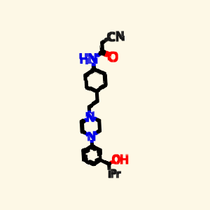 CC(C)C(O)c1cccc(N2CCN(CCC3CCC(NC(=O)CC#N)CC3)CC2)c1